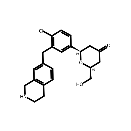 O=C1C[C@@H](CO)O[C@@H](c2ccc(Cl)c(Cc3ccc4c(c3)CNCC4)c2)C1